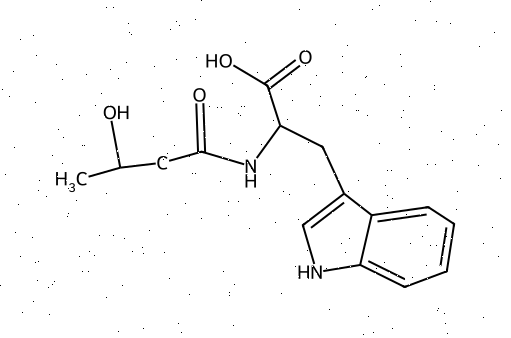 CC(O)CC(=O)NC(Cc1c[nH]c2ccccc12)C(=O)O